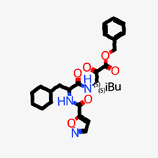 CC[C@H](C)[C@H](NC(=O)C(CC1CCCCC1)NC(=O)c1ccno1)C(=O)C(=O)OCc1ccccc1